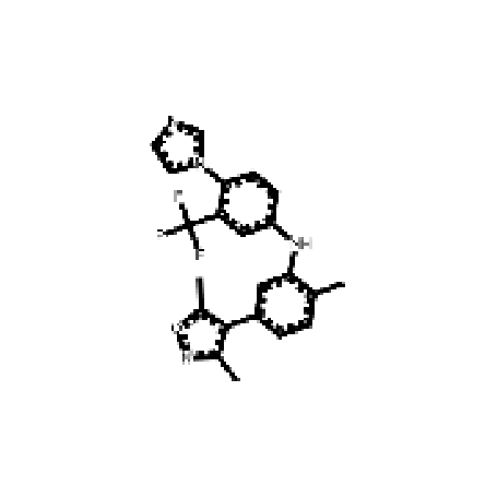 Cc1ccc(-c2c(C)noc2C)cc1Nc1ccc(-n2ccnc2)c(C(F)(F)F)c1